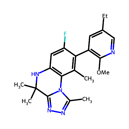 CCc1cnc(OC)c(-c2c(F)cc3c(c2C)-n2c(C)nnc2C(C)(C)N3)c1